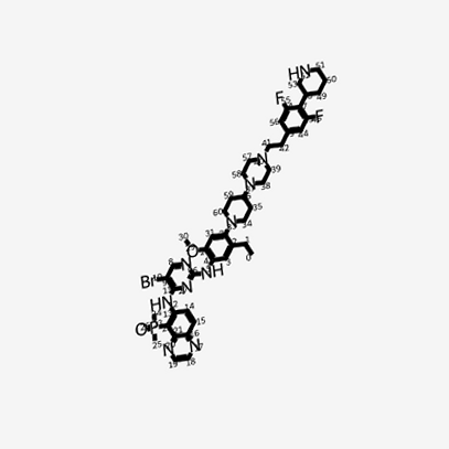 CCc1cc(Nc2ncc(Br)c(Nc3ccc4nccnc4c3P(C)(C)=O)n2)c(OC)cc1N1CCC(N2CCN(CCc3cc(F)c(C4CCCNC4)c(F)c3)CC2)CC1